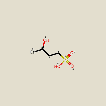 CCC(O)CCS(=O)(=O)O